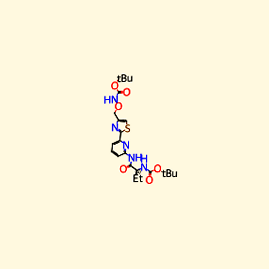 CC[C@H](NC(=O)OC(C)(C)C)C(=O)Nc1cccc(-c2nc(CONC(=O)OC(C)(C)C)cs2)n1